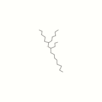 CCCCCCCCC([CH]C(CCCCC)CCCCC)CCC